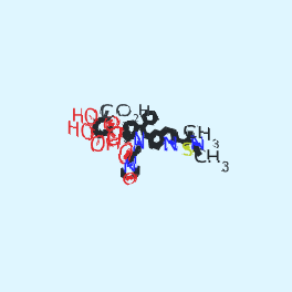 Cc1nc(C)c(-c2ccc3cc(-c4c(C5CCCCC5)c5ccc(O[C@@H]6O[C@H](C(=O)O)[C@@H](O)[C@H](O)[C@H]6O)cc5n4CC(=O)N4CCOCC4)ccc3n2)s1